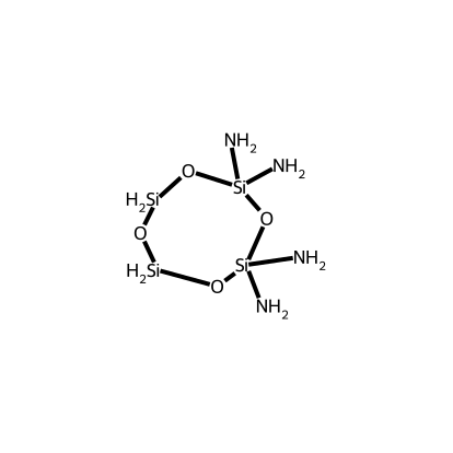 N[Si]1(N)O[SiH2]O[SiH2]O[Si](N)(N)O1